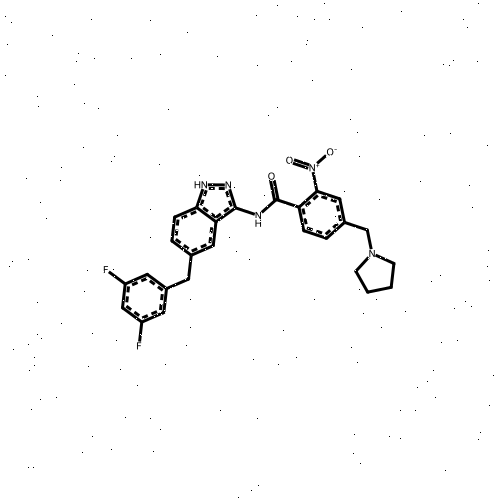 O=C(Nc1n[nH]c2ccc(Cc3cc(F)cc(F)c3)cc12)c1ccc(CN2CCCC2)cc1[N+](=O)[O-]